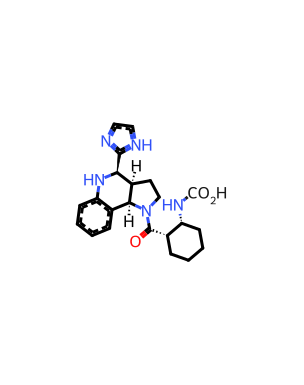 O=C(O)N[C@@H]1CCCC[C@@H]1C(=O)N1CC[C@@H]2[C@H](c3ncc[nH]3)Nc3ccccc3[C@@H]21